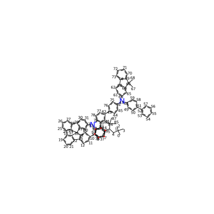 CC(C)(C)CC(c1ccc(-c2ccc3c(c2)C2(c4ccccc4-3)c3ccccc3-c3ccc(-n4c5ccccc5c5cc(-c6ccc(N(c7ccc(-c8ccccc8)cc7)c7ccc8c(c7)C(C)(C)c7ccccc7-8)cc6)ccc54)cc32)cc1)C(C)(C)C